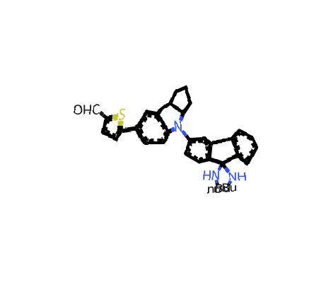 CCCCNC1(NCCCC)c2ccccc2-c2cc(N3c4ccc(-c5ccc(C=O)s5)cc4C4CCCC43)ccc21